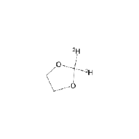 [2H]C1([2H])OCCO1